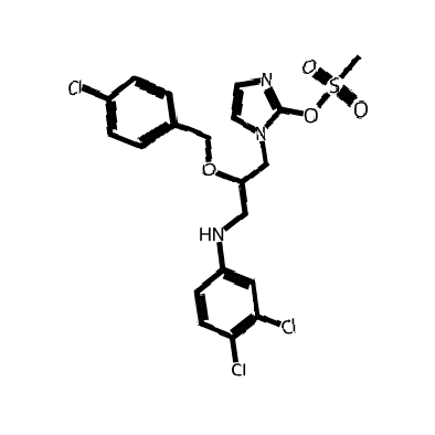 CS(=O)(=O)Oc1nccn1CC(CNc1ccc(Cl)c(Cl)c1)OCc1ccc(Cl)cc1